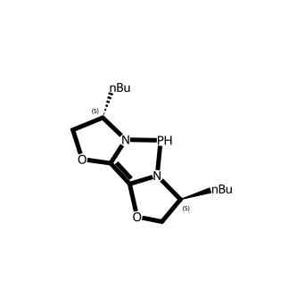 CCCC[C@H]1COC2=C3OC[C@H](CCCC)N3PN21